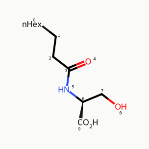 CCCCCCCCC(=O)N[C@@H](CO)C(=O)O